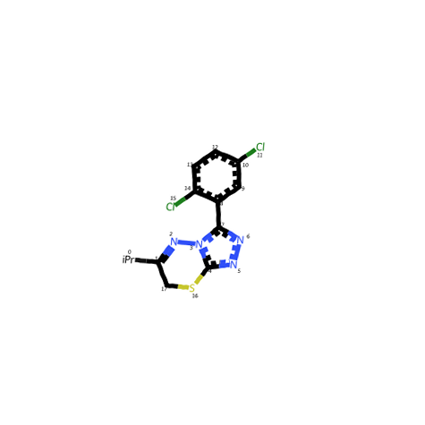 CC(C)C1=Nn2c(nnc2-c2cc(Cl)ccc2Cl)SC1